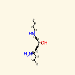 CCCCNC#CC(O)C#CC(N)CCC